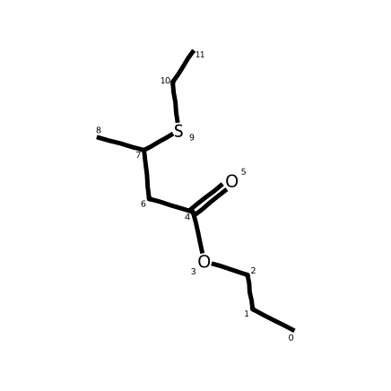 CCCOC(=O)CC(C)SCC